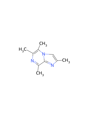 Cc1cn2c(C)c(C)nc(C)c2n1